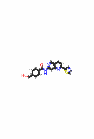 O=C(Nc1cc2nc(-c3cncs3)ccc2cn1)C1CCC(CO)CC1